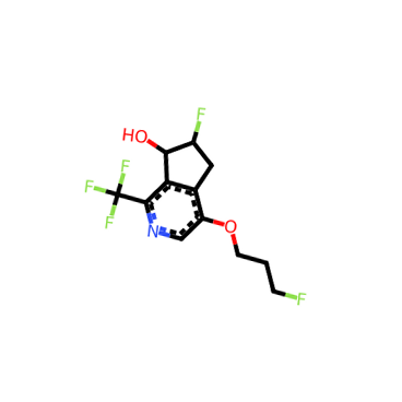 OC1c2c(C(F)(F)F)ncc(OCCCF)c2CC1F